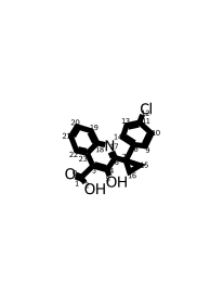 O=C(O)c1c(O)c(C2(c3ccc(Cl)cc3)CC2)nc2ccccc12